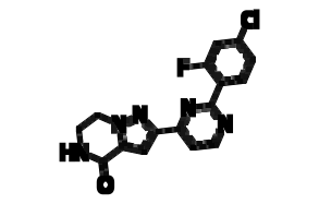 O=C1NCCn2nc(-c3ccnc(-c4ccc(Cl)cc4F)n3)cc21